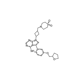 Nc1ncnc2c1c(-c1cccc(OCC3CCCO3)c1)cn2C1CC(CN2CCS(=O)(=O)CC2)C1